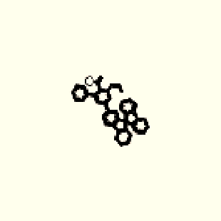 C=C1Oc2ccccc2-c2cc(-c3ccc4c(c3)C3(C5=C4CCC=C5)c4ccccc4-c4ccccc43)cc(/C=C\C)c21